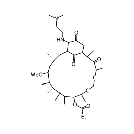 CCC(=O)OC1C(C)CCCC(C)C(=O)C(C)C2CC(=O)C(NCCN(C)C)C(C[C@@H](C)CC(OC)[C@H](C)[C@@H](C)C(C)C1C)C2=O